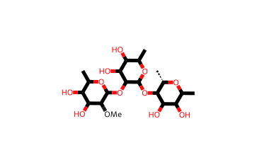 COC1C(OC2C(OC3C(O)C(O)C(C)O[C@H]3C)OC(C)C(O)C2O)OC(C)C(O)C1O